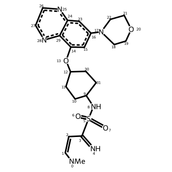 CN/C=C\C(=N)S(=O)(=O)NC1CCC(Oc2cc(N3CCOCC3)cc3nccnc23)CC1